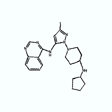 Cc1cc(Nc2ncnc3ccccc23)n(N2CCC(NC3CCCC3)CC2)n1